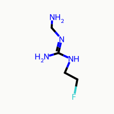 NC/N=C(\N)NCCF